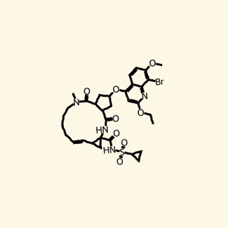 CCOc1cc(OC2CC3C(=O)NC4(C(=O)NS(=O)(=O)C5CC5)CC4/C=C/CCCCN(C)C(=O)C3C2)c2ccc(OC)c(Br)c2n1